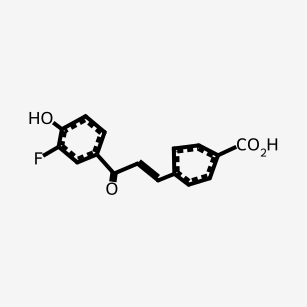 O=C(O)c1ccc(C=CC(=O)c2ccc(O)c(F)c2)cc1